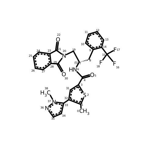 Cc1sc(C(=O)N[C@@H](Cc2ccccc2C(F)(F)F)CN2C(=O)c3ccccc3C2=O)cc1-c1ccnn1C